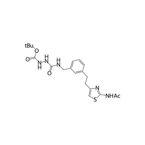 CC(=O)Nc1nc(CCc2cccc(CNC(=O)NNC(=O)OC(C)(C)C)c2)cs1